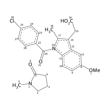 CN1CCCC1=O.COc1ccc2c(c1)c(CC(=O)O)c(C)n2C(=O)c1ccc(Cl)cc1